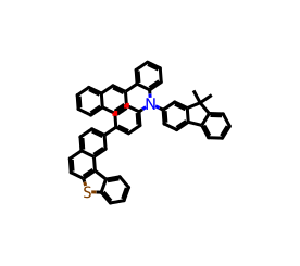 CC1(C)c2ccccc2-c2ccc(N(c3ccc(-c4ccc5ccc6sc7ccccc7c6c5c4)cc3)c3ccccc3-c3ccc4ccccc4c3)cc21